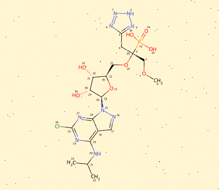 COC[C@](Cc1nn[nH]n1)(OC[C@H]1O[C@@H](n2ncc3c(NC(C)C)nc(Cl)nc32)[C@H](O)[C@@H]1O)P(=O)(O)O